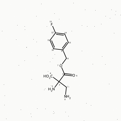 NCC(N)(C(=O)O)C(=O)OCc1ccc(F)cc1